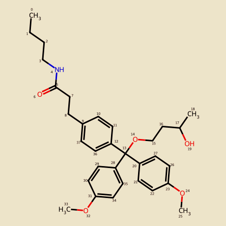 CCCCNC(=O)CCc1ccc(C(OCCC(C)O)(c2ccc(OC)cc2)c2ccc(OC)cc2)cc1